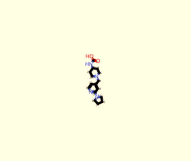 O=C(O)NC1CCN(Cc2ccnc(N3CCCC3)c2)CC1